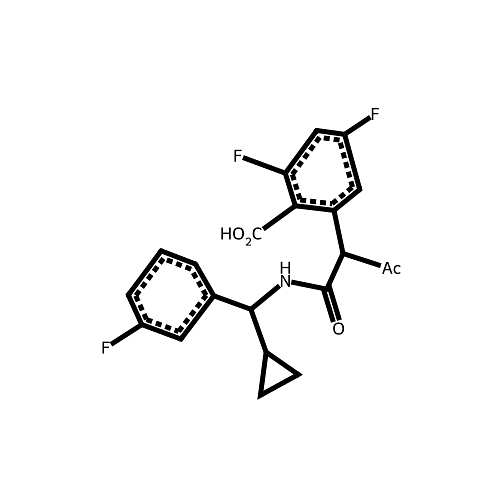 CC(=O)C(C(=O)NC(c1cccc(F)c1)C1CC1)c1cc(F)cc(F)c1C(=O)O